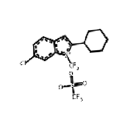 FC(F)(F)[s+]1c(C2CCCCC2)cc2ccc(Cl)cc21.O=S(=O)([O-])C(F)(F)F